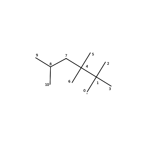 [CH2]C(C)(C)C(C)(C)CC(C)C